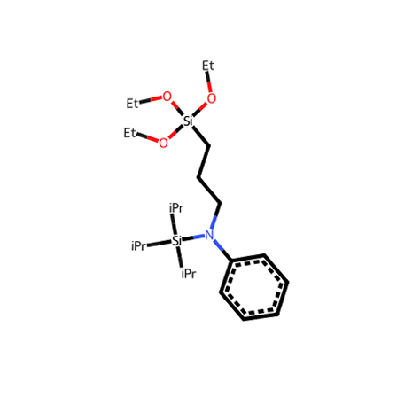 CCO[Si](CCCN(c1ccccc1)[Si](C(C)C)(C(C)C)C(C)C)(OCC)OCC